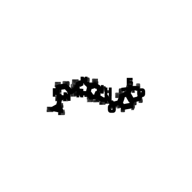 C[C@@]1(F)COCc2ccc(C(=O)NCc3cc4nc(-c5ccnc(C6CC6)n5)cnc4cn3)cc21